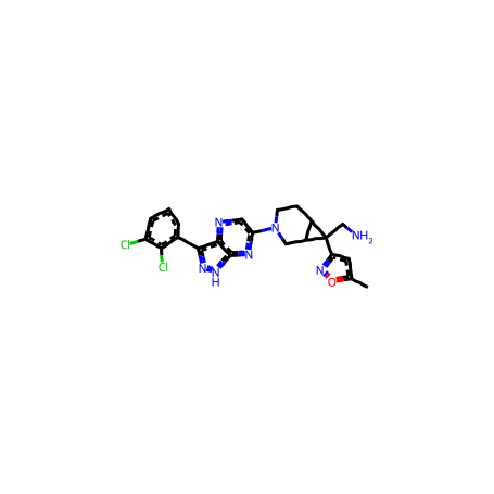 Cc1cc(C2(CN)C3CCN(c4cnc5c(-c6cccc(Cl)c6Cl)n[nH]c5n4)CC32)no1